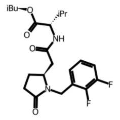 CC[C@H](C)OC(=O)[C@@H](NC(=O)C[C@@H]1CCC(=O)N1Cc1cccc(F)c1F)C(C)C